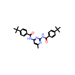 Cc1cc(NC(=O)c2ccc(C(C)(C)C)cc2)nc(NC(=O)c2ccc(C(C)(C)C)cc2)n1